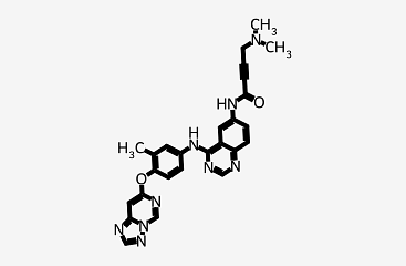 Cc1cc(Nc2ncnc3ccc(NC(=O)C#CCN(C)C)cc23)ccc1Oc1cc2ncnn2cn1